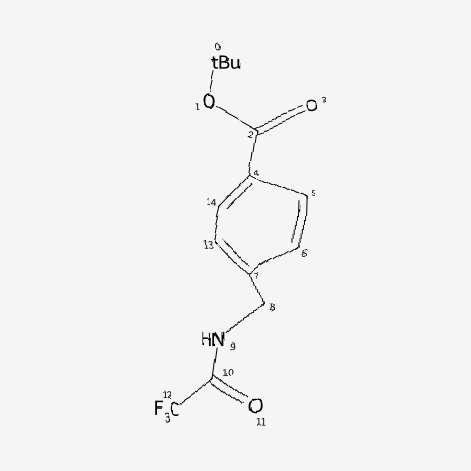 CC(C)(C)OC(=O)c1ccc(CNC(=O)C(F)(F)F)cc1